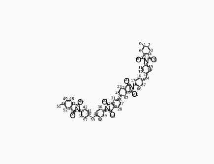 Cc1ccc2c(c1)C(=O)N(c1ccc(Cc3ccc(N4C(=O)c5ccc(-c6ccc7c(c6)C(=O)N(c6ccc(Cc8ccc(N9C(=O)c%10ccc(C)cc%10C9=O)cc8)cc6)C7=O)cc5C4=O)cc3)cc1)C2=O